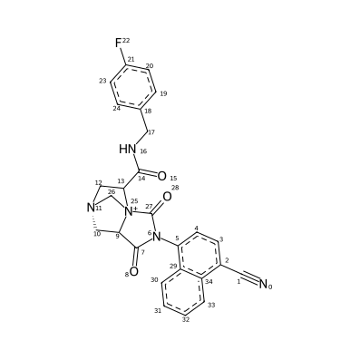 N#Cc1ccc(N2C(=O)C3C[N@]4CC(C(=O)NCc5ccc(F)cc5)[N+]3(C4)C2=O)c2ccccc12